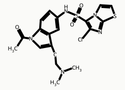 CC(=O)n1cc(CCN(C)C)c2cc(NS(=O)(=O)c3c(Cl)nc4sccn34)ccc21